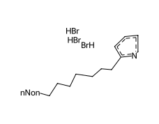 Br.Br.Br.CCCCCCCCCCCCCCCCc1ccccn1